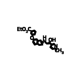 CCOC(=O)c1cccc(Oc2ccc3c(c2)C[C@@H](NC[C@@H](O)c2ccc(C)nc2)CC3)c1